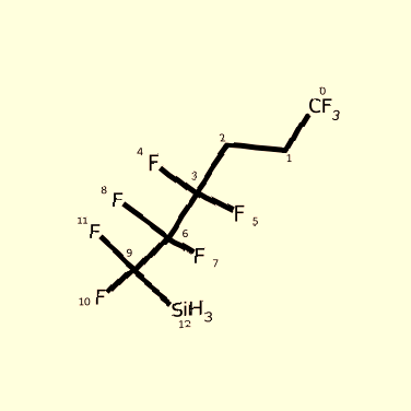 FC(F)(F)CCC(F)(F)C(F)(F)C(F)(F)[SiH3]